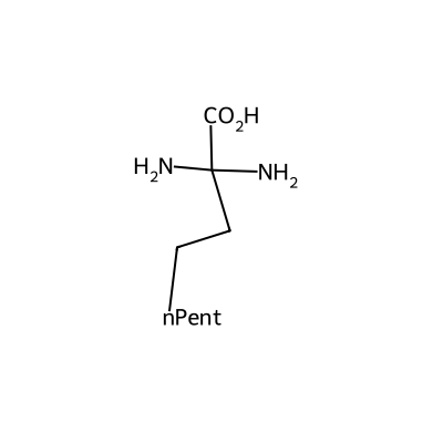 CCCCCCCC(N)(N)C(=O)O